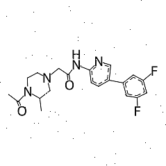 CC(=O)N1CCN(CC(=O)Nc2ccc(-c3cc(F)cc(F)c3)cn2)CC1C